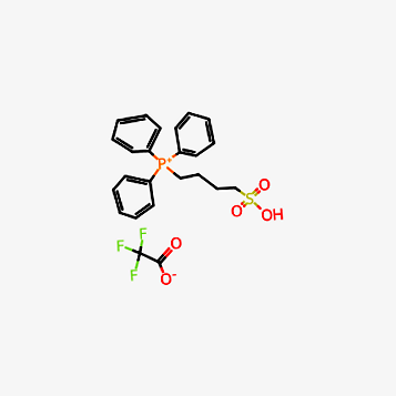 O=C([O-])C(F)(F)F.O=S(=O)(O)CCCC[P+](c1ccccc1)(c1ccccc1)c1ccccc1